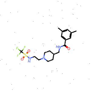 Cc1cc(C)cc(C(=O)NCC2CCN(CCNS(=O)(=O)C(F)(F)F)CC2)c1